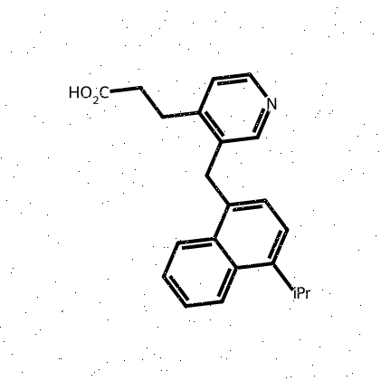 CC(C)c1ccc(Cc2cnccc2CCC(=O)O)c2ccccc12